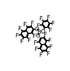 Fc1c(F)c(F)c(OB(Oc2c(F)c(F)c3c(F)c(F)c(F)c(F)c3c2F)Oc2c(F)c(F)c3c(F)c(F)c(F)c(F)c3c2F)c(F)c1F